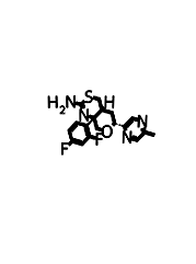 Cc1cnc([C@H]2C[C@H]3CSC(N)=N[C@@]3(c3ccc(F)cc3F)CO2)cn1